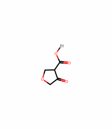 CCOC(=O)C1COCC1=O